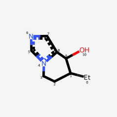 CCC1CCn2cncc2C1O